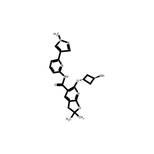 Cn1cc(-c2cccc(NC(=O)c3cc4c(nc3O[C@H]3C[C@H](O)C3)OC(C)(C)C4)n2)cn1